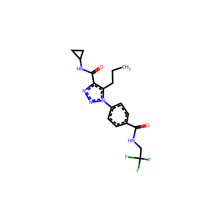 CCCc1c(C(=O)NC2CC2)nnn1-c1ccc(C(=O)NCC(F)(F)F)cc1